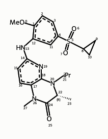 COc1ccc(S(=O)(=O)C2CC2)cc1Nc1ccc2c(n1)N(C(C)C)[C@H](C)C(=O)N2C